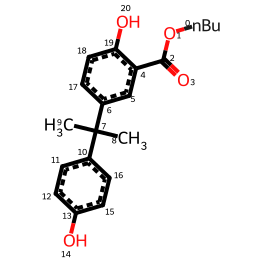 CCCCOC(=O)c1cc(C(C)(C)c2ccc(O)cc2)ccc1O